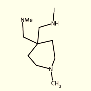 CNCC1(CNI)CCN(C)CC1